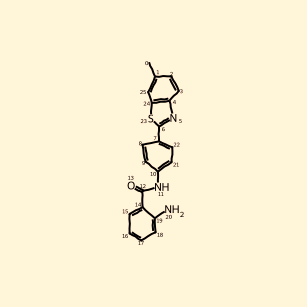 Cc1ccc2nc(-c3ccc(NC(=O)c4ccccc4N)cc3)sc2c1